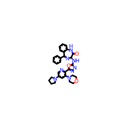 O=C1Nc2ccccc2C(c2ccccc2)=N[C@@H]1Nc1nnc(-c2ncc(N3CCCC3)cc2N2CCOCC2)o1